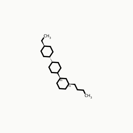 CCCC[C@H]1CCC[C@@H](C2CCC([C@H]3CC[C@H](CC)CC3)CC2)C1